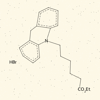 Br.CCOC(=O)CCCCCN1c2ccccc2Cc2ccccc21